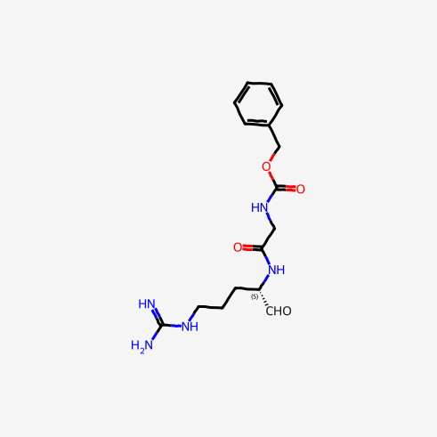 N=C(N)NCCC[C@@H](C=O)NC(=O)CNC(=O)OCc1ccccc1